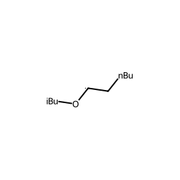 CCCCC[CH]OC(C)CC